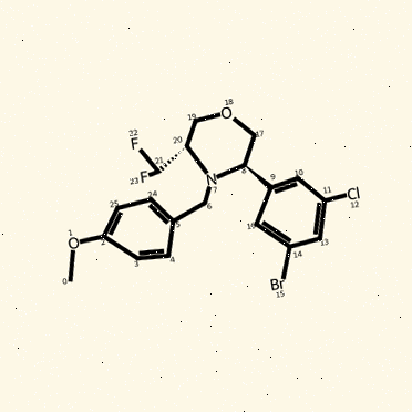 COc1ccc(CN2[C@H](c3cc(Cl)cc(Br)c3)COC[C@H]2C(F)F)cc1